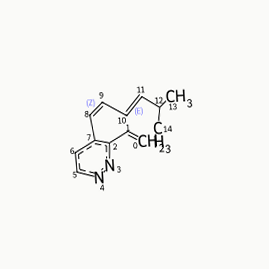 C=Cc1nnccc1/C=C\C=C\C(C)C